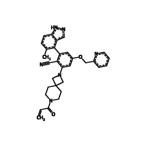 C=CC(=O)N1CCC2(CC1)CN(c1cc(OCc3ccccn3)cc(-c3c(C)ccc4[nH]ncc34)c1C#N)C2